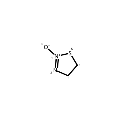 [O-][N+]1=NCCS1